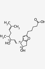 CC(C)=CCC(C)[C@H](O)C=C[C@@H]1c2cc(CCCCC(=O)O)oc2C[C@H]1O